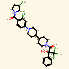 O=C(c1ccc(N2CCC(C3CCN(C(=O)C(O)(c4ccccc4)C(F)(F)F)CC3)CC2)cc1Cl)N1CC[C@H](F)C1